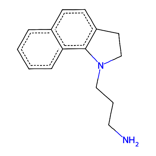 NCCCN1CCc2ccc3ccccc3c21